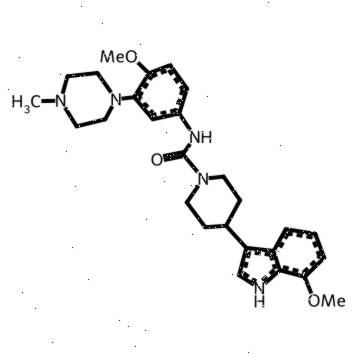 COc1ccc(NC(=O)N2CCC(c3c[nH]c4c(OC)cccc34)CC2)cc1N1CCN(C)CC1